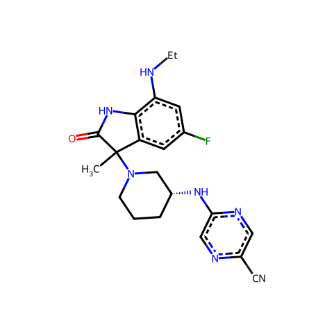 CCNc1cc(F)cc2c1NC(=O)C2(C)N1CCC[C@@H](Nc2cnc(C#N)cn2)C1